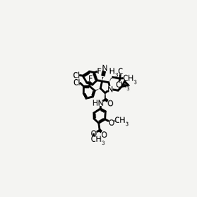 COC(=O)c1ccc(NC(=O)[C@H]2[C@H](c3cccc(Cl)c3F)[C@@](C#N)(c3ccc(Cl)cc3F)[C@H](CC(C)(C)C)N2CC2CC2)cc1OC